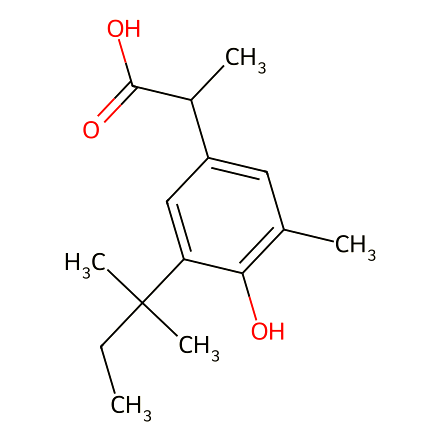 CCC(C)(C)c1cc(C(C)C(=O)O)cc(C)c1O